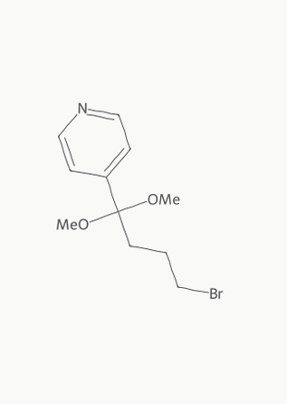 COC(CCCBr)(OC)c1ccncc1